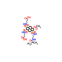 C=C(C)C(=O)NCCCNS(=O)(=O)c1cc(OC(C)=O)c2ccc3c(S(=O)(=O)NCCCC(=O)O)cc(S(=O)(=O)NCCCC(=O)O)c4ccc1c2c34